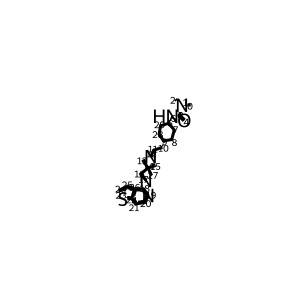 CN(C)C(=O)N[C@H]1CC[C@H](CCN2CC3(C2)CN(c2nccc4sccc24)C3)CC1